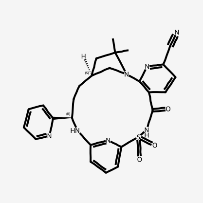 CC1(C)C[C@@H]2CC[C@H](c3ccccn3)Nc3cccc(n3)S(=O)(=O)NC(=O)c3ccc(C#N)nc3N1C2